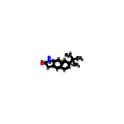 CC(C)(C)c1ccc2cc3c(cc2c1)NC(=O)C3